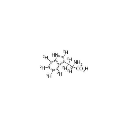 [2H]c1[nH]c2c([2H])c([2H])c([2H])c([2H])c2c1C([2H])([2H])[C@]([2H])(N)C(=O)O